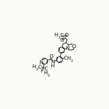 Cc1ccc(NC(=O)c2ccnc(C(C)(C)F)c2)cc1-c1ccc2c(c1)N1CCOCC1C(CS(C)(=O)=O)C2